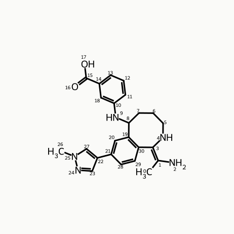 C/C(N)=C1/NCCCC(Nc2cccc(C(=O)O)c2)c2cc(-c3cnn(C)c3)ccc21